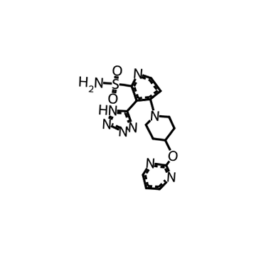 NS(=O)(=O)c1nccc(N2CCC(Oc3ncccn3)CC2)c1-c1nnn[nH]1